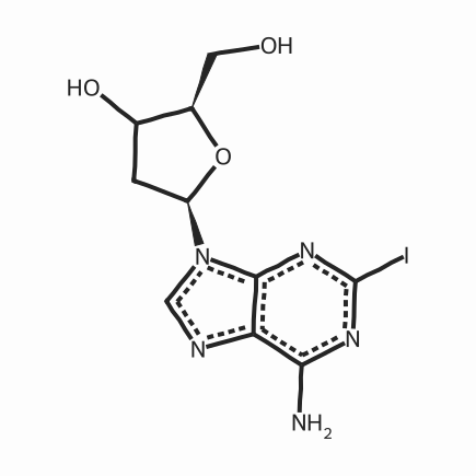 Nc1nc(I)nc2c1ncn2[C@H]1CC(O)[C@@H](CO)O1